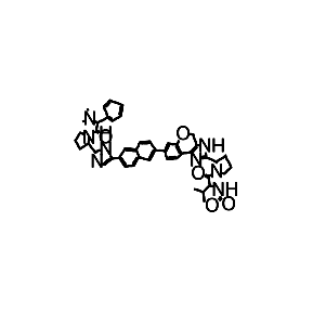 COC(=O)NC(C(=O)N1CCCC1c1nc2c([nH]1)COc1cc(-c3ccc4cc(-c5cnc(C6CCCN6C(=O)C(c6ccccc6)N(C)C)[nH]5)ccc4c3)ccc1-2)C(C)C